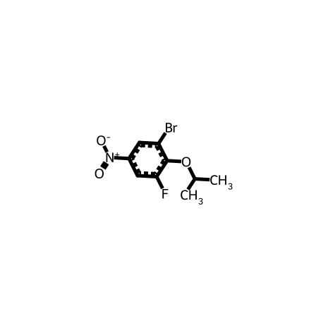 CC(C)Oc1c(F)cc([N+](=O)[O-])cc1Br